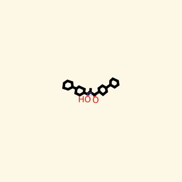 C/C(C(=O)C1CCC(C2CCCCC2)CC1)=C(/O)C1CCC(C2CCCCC2)CC1